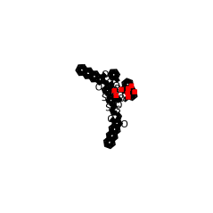 O=C1C(=CC2=Cc3sc4c(c3C2(C(=O)OCc2ccccc2)C(=O)OCc2ccccc2)C(C(=O)OCc2ccccc2)(C(=O)OCc2ccccc2)c2c-4sc3cc(C=C4C(=O)c5cc6cc7ccccc7cc6cc5C4=O)sc23)C(=O)c2cc3cc4ccccc4cc3cc21